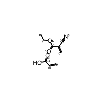 C=C(C#N)C(=O)OCC.C=CC(=O)O